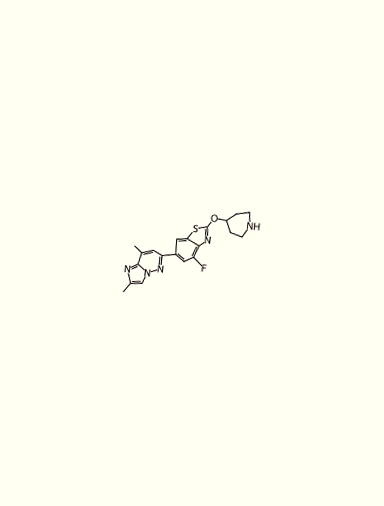 Cc1cn2nc(-c3cc(F)c4nc(OC5CCNCC5)sc4c3)cc(C)c2n1